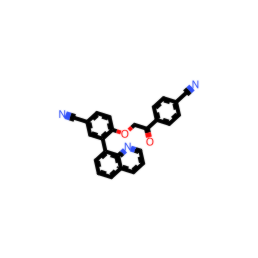 N#Cc1ccc(C(=O)COc2ccc(C#N)cc2-c2cccc3cccnc23)cc1